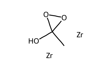 CC1(O)OO1.[Zr].[Zr]